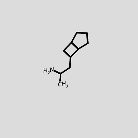 C[C@@H](N)CC1CC2CCCC21